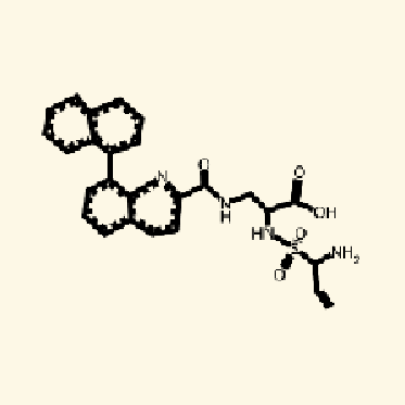 C=CC(N)S(=O)(=O)NC(CNC(=O)c1ccc2cccc(-c3cccc4ccccc34)c2n1)C(=O)O